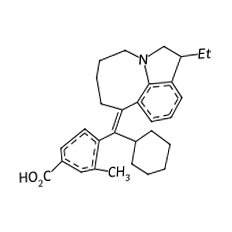 CCC1CN2CCCC/C(=C(\c3ccc(C(=O)O)cc3C)C3CCCCC3)c3cccc1c32